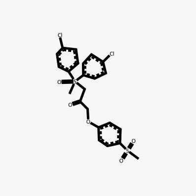 CS(=O)(=O)c1ccc(OCC(=O)CS(C)(=O)(c2ccc(Cl)cc2)c2ccc(Cl)cc2)cc1